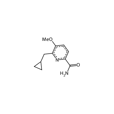 COc1ccc(C(N)=O)nc1CC1CC1